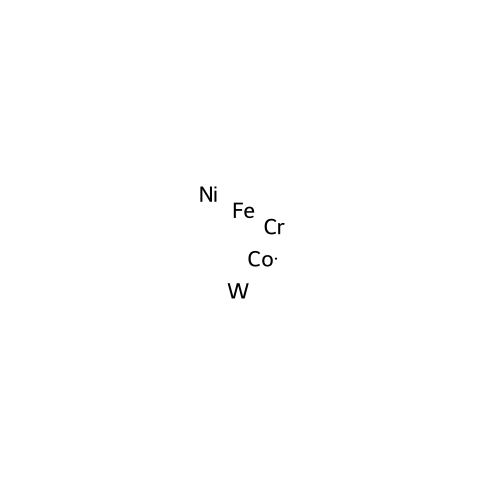 [Co].[Cr].[Fe].[Ni].[W]